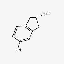 N#Cc1ccc2c(c1)C[C@@H](C=O)C2